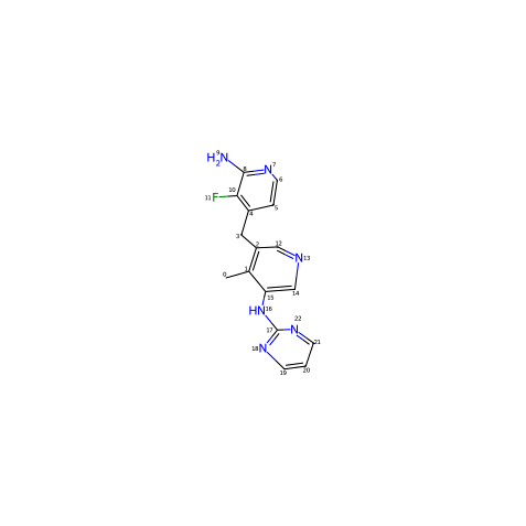 Cc1c(Cc2ccnc(N)c2F)cncc1Nc1ncccn1